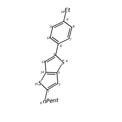 CCCCCc1cc2sc(-c3ccc(CC)cc3)cc2s1